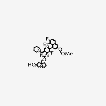 CCc1c(F)ccc2cc(OCOC)cc(-c3ncc4c(N5CCCCC5)nc(OC[C@@]56CCCN5C[C@H](O)C6)nc4c3F)c12